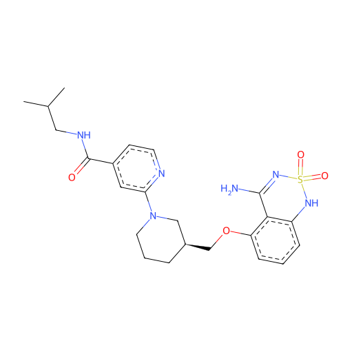 CC(C)CNC(=O)c1ccnc(N2CCC[C@H](COc3cccc4c3C(N)=NS(=O)(=O)N4)C2)c1